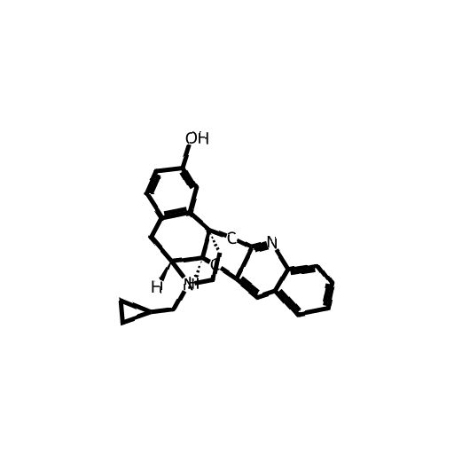 Oc1ccc2c(c1)[C@]13CCN(CC4CC4)[C@H](C2)[C@@H]1Cc1cc2ccccc2nc1C3